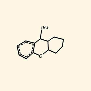 CC(C)(C)C1c2ccccc2OC2CCCCC21